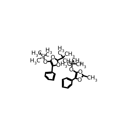 CC(C)(C)C1OC(O[Si](C)(C)C)=C(c2ccccc2)O1.CC1OC(O[Si](C)(C)C)=C(c2ccccc2)O1